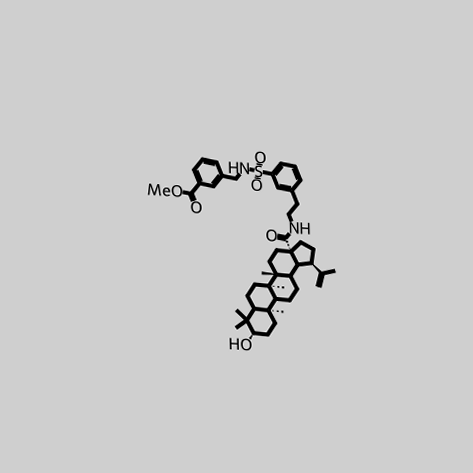 C=C(C)[C@@H]1CC[C@]2(C(=O)NCCc3cccc(S(=O)(=O)NCc4cccc(C(=O)OC)c4)c3)CC[C@]3(C)C(CCC4[C@@]5(C)CC[C@H](O)C(C)(C)C5CC[C@]43C)C12